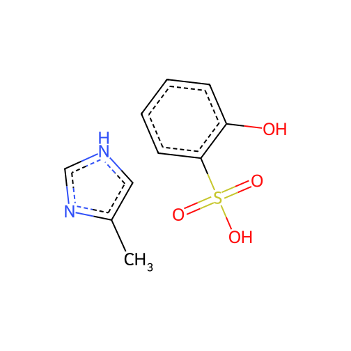 Cc1c[nH]cn1.O=S(=O)(O)c1ccccc1O